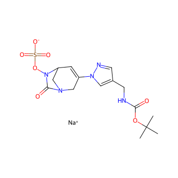 CC(C)(C)OC(=O)NCc1cnn(C2=CC3CN(C2)C(=O)N3OS(=O)(=O)[O-])c1.[Na+]